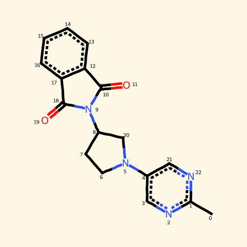 Cc1ncc(N2CCC(N3C(=O)c4ccccc4C3=O)C2)cn1